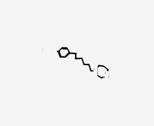 FC(F)(F)c1ccc(CCCCCCN2CCC[N]CC2)cc1